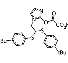 CC(C)(C)c1ccc(SC(Cn2ccnc2OC(=O)C(=O)O)Sc2ccc(C(C)(C)C)cc2)cc1